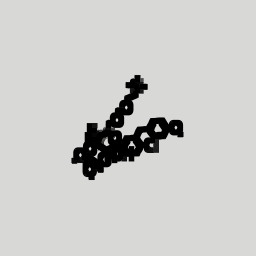 COc1ccc(Cc2cc([C@]3(O)O[C@H](COCOCC[Si](C)(C)C)[C@H](F)[C@@H]4OC(C)(OC)C(C)(OC)O[C@H]43)ccc2Cl)cc1